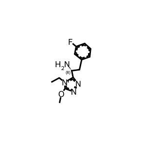 CCn1c(OC)nnc1[C@H](N)Cc1cccc(F)c1